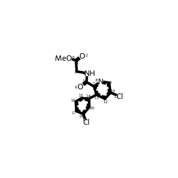 COC(=O)CNC(=O)c1ncc(Cl)cc1-c1cccc(Cl)c1